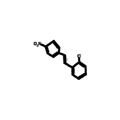 O=[N+]([O-])c1ccc(/C=C/c2ccccc2Cl)cc1